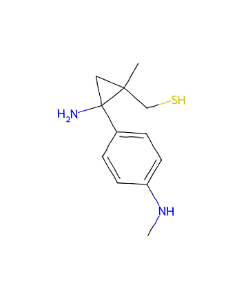 CNc1ccc(C2(N)CC2(C)CS)cc1